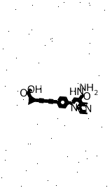 NNC(=O)c1cc(-c2ccc(C#CC#CC3CC3C(=O)O)cc2)nc2ccncc12